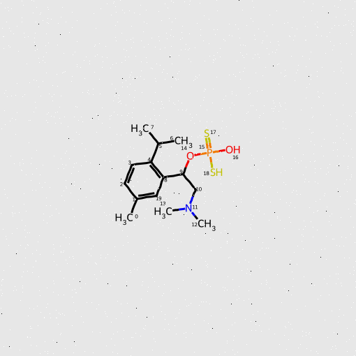 Cc1ccc(C(C)C)c(C(CN(C)C)OP(O)(=S)S)c1